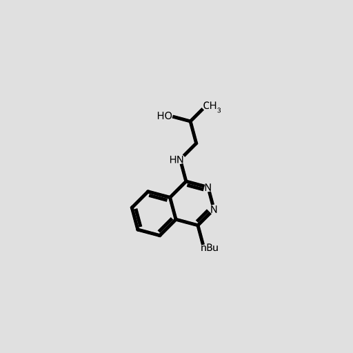 CCCCc1nnc(NCC(C)O)c2ccccc12